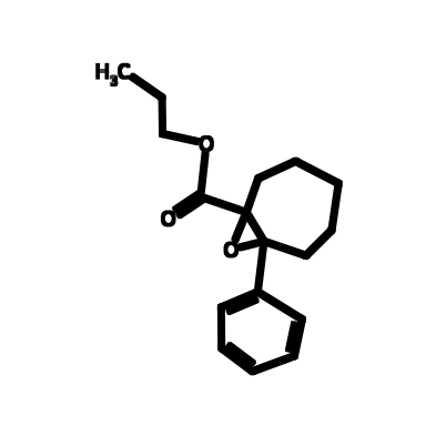 CCCOC(=O)C12CCCCCC1(c1ccccc1)O2